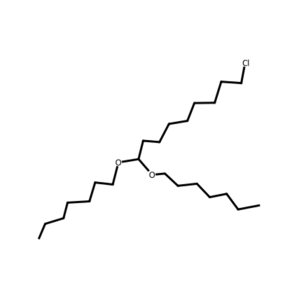 CCCCCCCOC(CCCCCCCCCl)OCCCCCCC